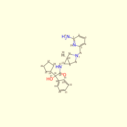 Nc1cccc(CN2CC3[C@H](C2)[C@H]3NC(=O)C(O)(c2ccccc2)C2CCCC2)n1